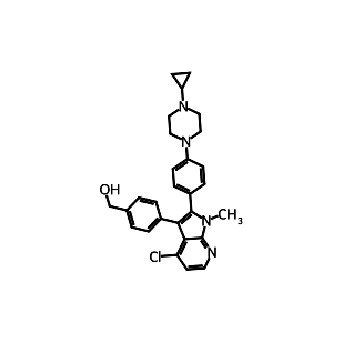 Cn1c(-c2ccc(N3CCN(C4CC4)CC3)cc2)c(-c2ccc(CO)cc2)c2c(Cl)ccnc21